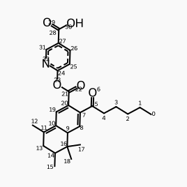 CCCCCC(=O)C1=CC2C(=C(C)CC(C)C2(C)C)C=C1C(=O)Oc1ccc(C(=O)O)cn1